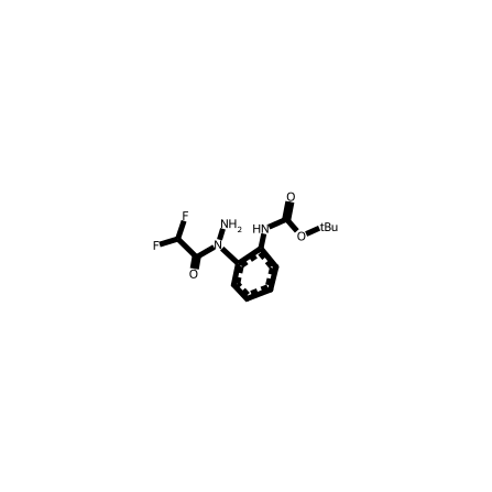 CC(C)(C)OC(=O)Nc1ccccc1N(N)C(=O)C(F)F